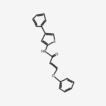 O=C(C=COc1ccccc1)Nc1cc(-c2ccccc2)cs1